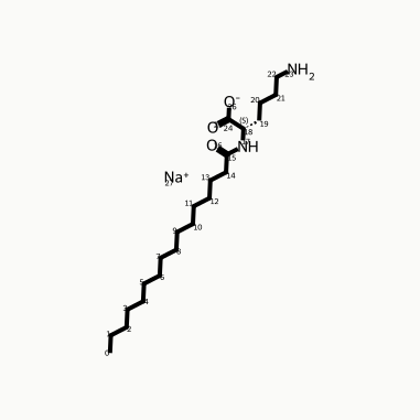 CCCCCCCCCCCCCCCC(=O)N[C@@H](CCCCN)C(=O)[O-].[Na+]